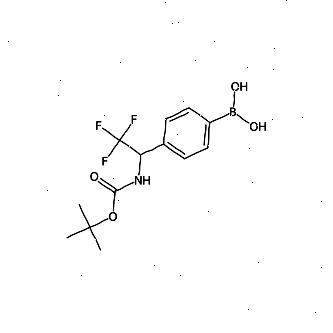 CC(C)(C)OC(=O)NC(c1ccc(B(O)O)cc1)C(F)(F)F